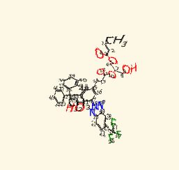 CC=CC(=O)OCC(CO)OC(=O)CCc1cc(-n2nc3ccc(C(F)(F)F)cc3n2)c(O)c(C(C)(c2ccccc2)c2ccccc2)c1